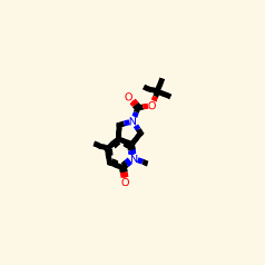 Cc1cc(=O)n(C)c2c1CN(C(=O)OC(C)(C)C)C2